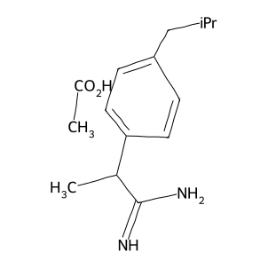 CC(=O)O.CC(C)Cc1ccc(C(C)C(=N)N)cc1